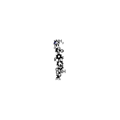 C=NN(/C=C\N)C[C@H]1CN(c2cc(F)c(N3CCN4C[C@H](NC(=O)OC(C)(C)C)C(=O)N4CC3)c(F)c2)C(=O)O1